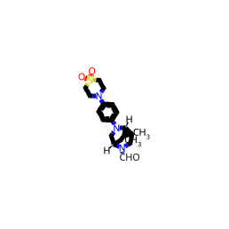 CC1(C)C[C@@H]2CN(c3ccc(N4CCS(=O)(=O)CC4)cc3)[C@H]1CCN2C=O